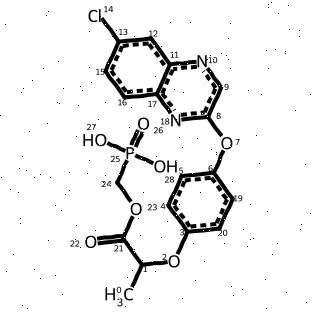 CC(Oc1ccc(Oc2cnc3cc(Cl)ccc3n2)cc1)C(=O)OCP(=O)(O)O